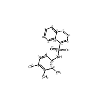 Cc1c(Cl)nnc(NS(=O)(=O)c2cccc3ccccc23)c1C